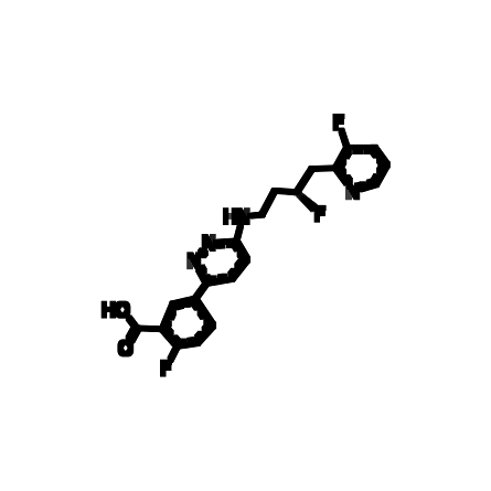 O=C(O)c1cc(-c2ccc(NCC[C@H](F)Cc3ncccc3F)nn2)ccc1F